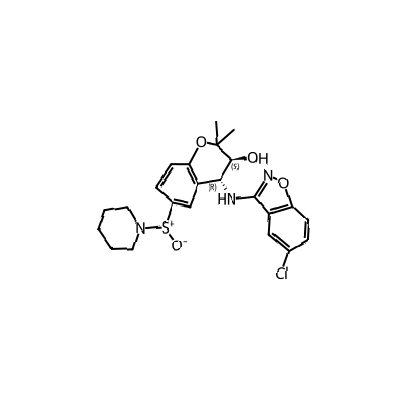 CC1(C)Oc2ccc([S+]([O-])N3CCCCC3)cc2[C@@H](Nc2noc3ccc(Cl)cc23)[C@@H]1O